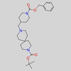 CC(C)(C)OC(=O)N1CCC2(CCN(CC3CCN(C(=O)OCc4ccccc4)CC3)CC2)CC1